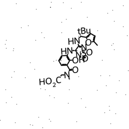 Cc1ccc([C@H](NC2=NS(=O)(=O)N=C2Nc2cccc(C(=O)N(C)CC(=O)O)c2O)C(C)(C)C)o1